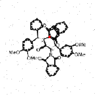 COc1ccc(C(c2ccccc2)[C@@H](C(=O)[C@H](C(c2ccccc2)c2ccc(OC)c(OC)c2)N2C(=O)c3ccccc3C2=O)N2C(=O)c3ccccc3C2=O)cc1OC